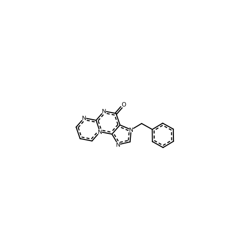 O=c1nc2ncccn2c2ncn(Cc3ccccc3)c12